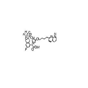 COC(C)(C)C1Cc2c(cc(F)cc2C(C(=O)O)N2CCC(OCCCCc3ccc4c(n3)NCCC4)C2)CO1